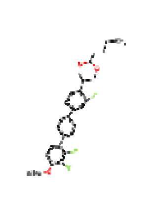 C=CCCC1OCC(c2ccc(-c3ccc(-c4ccc(OCCCCCC)c(F)c4F)cc3)cc2F)CO1